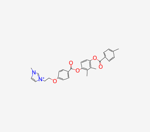 Cc1ccc(C(=O)Oc2ccc(OC(=O)c3ccc(OCC[n+]4ccn(C)c4)cc3)c(C)c2C)cc1